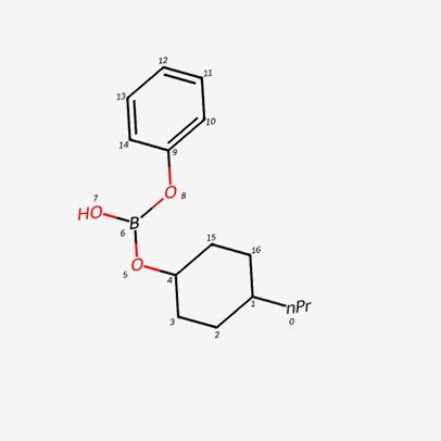 CCCC1CCC(OB(O)Oc2ccccc2)CC1